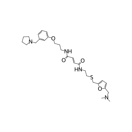 CN(C)Cc1ccc(CSCCNC(=O)C=CC(=O)NCCCOc2cccc(CN3CCCC3)c2)o1